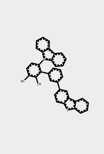 N#Cc1ccc(-n2c3ccccc3c3ccccc32)c(-c2cccc(-c3ccc4sc5ccccc5c4c3)c2)c1C#N